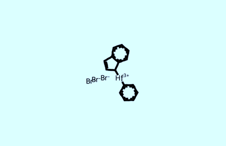 C1=C[CH]([Hf+3][c]2ccccc2)c2ccccc21.[Br-].[Br-].[Br-]